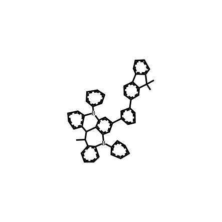 CC1c2ccccc2B(c2ccccc2)c2cc(-c3cccc(-c4ccc5c(c4)C(C)(C)c4ccccc4-5)c3)cc3c2C1c1ccccc1B3c1ccccc1